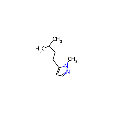 CC(C)CCc1ccnn1C